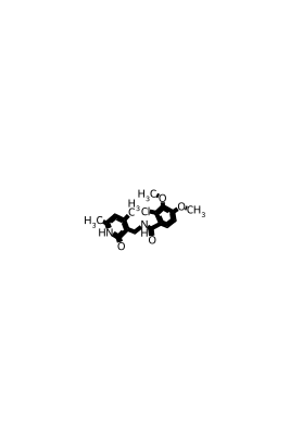 COc1ccc(C(=O)NCc2c(C)cc(C)[nH]c2=O)c(Cl)c1OC